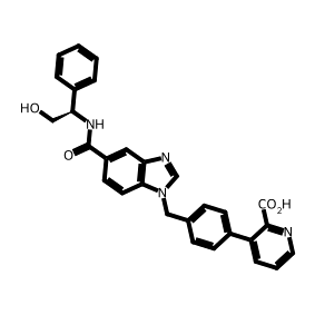 O=C(N[C@@H](CO)c1ccccc1)c1ccc2c(c1)ncn2Cc1ccc(-c2cccnc2C(=O)O)cc1